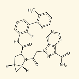 Cc1cccnc1-c1cccc(NC(=O)[C@@H]2C[C@H]3C[C@H]3N2C(=O)Cn2nc(C(N)=O)c3ccncc32)c1F